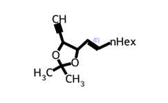 C#CC1OC(C)(C)OC1/C=C/CCCCCC